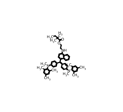 CCC(C)(C)C(=O)OCCNc1ccc(C(=C2C=CC(=[N+](C)c3c(C)cc(C)cc3C)C=C2)c2ccc(N(C)c3c(C)cc(C)cc3C)cc2)c2ccccc12